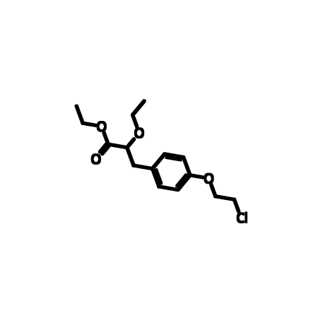 CCOC(=O)C(Cc1ccc(OCCCl)cc1)OCC